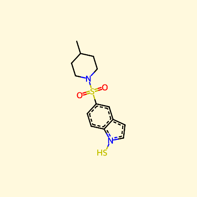 CC1CCN(S(=O)(=O)c2ccc3c(ccn3S)c2)CC1